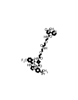 CC(C)N(C)[C@@H]1CC[C@H](N2CC[C@H](Nc3ncnc4ccc(C(F)(F)F)cc34)C2=O)[C@H](NC(=O)[C@H]2C[C@H](NC(=O)CCOCCNC(=O)CCOCCNC(=O)[C@@H]3CC(=O)N(C)[C@H]3c3cccnc3)C2)C1